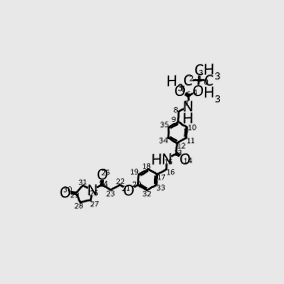 CC(C)(C)OC(=O)NCc1ccc(C(=O)NCc2ccc(OCCC(=O)N3CCC(=O)C3)cc2)cc1